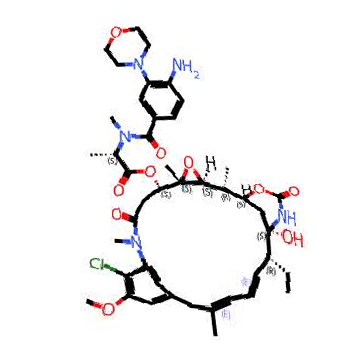 CC[C@@H]1/C=C/C=C(\C)Cc2cc(OC)c(Cl)c(c2)N(C)C(=O)C[C@H](OC(=O)[C@H](C)N(C)C(=O)c2ccc(N)c(N3CCOCC3)c2)[C@]2(C)O[C@H]2[C@H](C)[C@@H]2C[C@@]1(O)NC(=O)O2